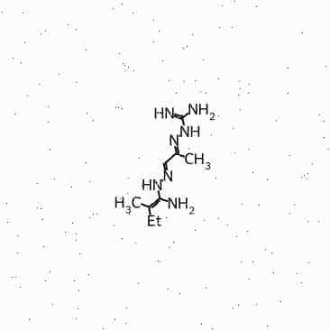 CC/C(C)=C(\N)N/N=C/C(C)=N/NC(=N)N